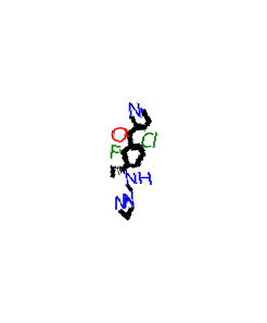 CC[C@@H](NCCn1cccn1)c1ccc(Cl)c(C(=O)c2cccnc2)c1F